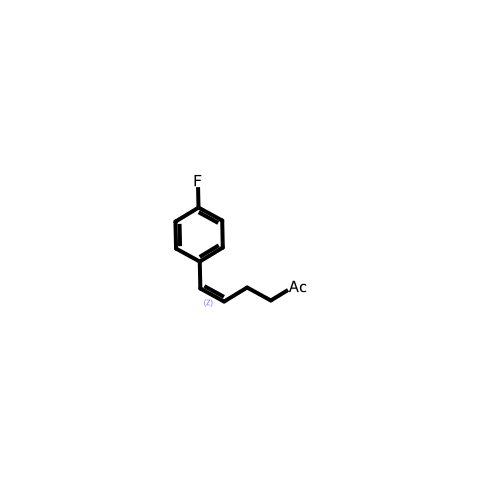 CC(=O)CC/C=C\c1ccc(F)cc1